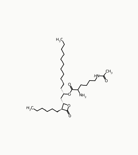 CCCCCCCCCCC[C@@H](C[C@@H]1OC(=O)[C@H]1CCCCCC)OC(=O)C(N)CCCCNC(C)=O